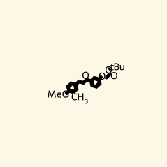 COc1ccc(CCC(=O)c2cccc(OCC(=O)OC(C)(C)C)c2)cc1C